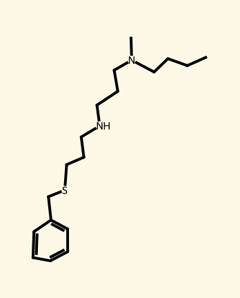 CCCCN(C)CCCNCCCSCc1ccccc1